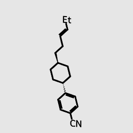 CCC=CCC[C@H]1CC[C@H](c2ccc(C#N)cc2)CC1